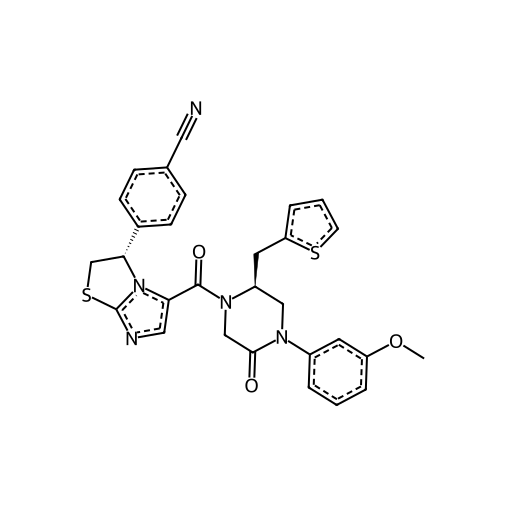 COc1cccc(N2C[C@H](Cc3cccs3)N(C(=O)c3cnc4n3[C@@H](c3ccc(C#N)cc3)CS4)CC2=O)c1